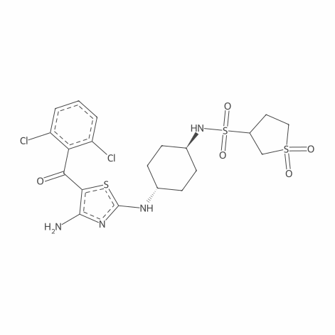 Nc1nc(N[C@H]2CC[C@H](NS(=O)(=O)C3CCS(=O)(=O)C3)CC2)sc1C(=O)c1c(Cl)cccc1Cl